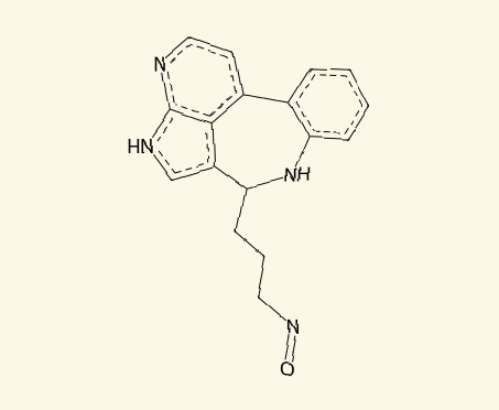 O=NCCCC1Nc2ccccc2-c2ccnc3[nH]cc1c23